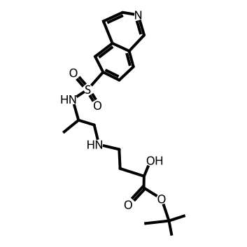 CC(CNCCC(O)C(=O)OC(C)(C)C)NS(=O)(=O)c1ccc2cnccc2c1